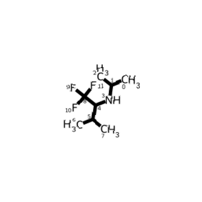 CC(C)NC(C(C)C)C(F)(F)F